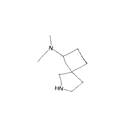 CN(C)[C]1CCC12CCNC2